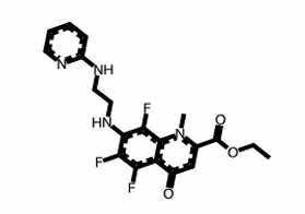 CCOC(=O)c1cc(=O)c2c(F)c(F)c(NCCNc3ccccn3)c(F)c2n1C